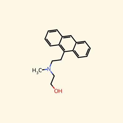 CN(CCO)CCc1c2ccccc2cc2ccccc12